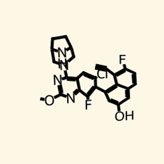 C#Cc1c(F)ccc2cc(O)cc(-c3c(Cl)cc4c(N5CC6CCC(C5)N6)nc(OC)nc4c3F)c12